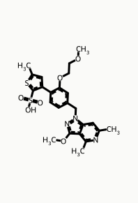 COCCOc1cc(Cn2nc(OC)c3c(C)nc(C)cc32)ccc1-c1cc(C)sc1S(=O)(=O)O